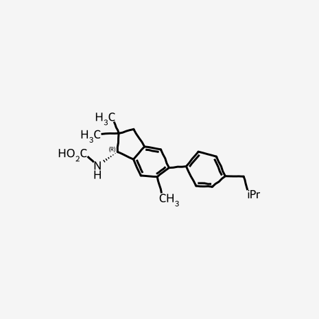 Cc1cc2c(cc1-c1ccc(CC(C)C)cc1)CC(C)(C)[C@H]2NC(=O)O